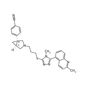 Cc1ccc2c(-c3nnc(SCCCN4C[C@H]5C[C@@]5(c5ccc(C#N)cc5)C4)n3C)cccc2n1